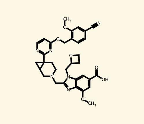 COc1cc(C#N)ccc1COc1ccnc(C23CCN(Cc4nc5c(OC)cc(C(=O)O)cc5n4CC4CCO4)CC2C3)n1